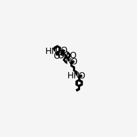 C=Cc1ccc(C(=O)NCCCCC(=O)N2CCC3C2C(=O)CN3S(=O)(=O)c2ccc[nH]c2=O)cc1